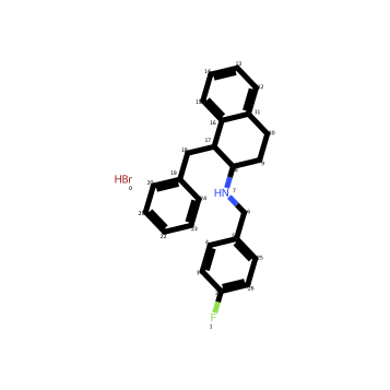 Br.Fc1ccc(CNC2CCc3ccccc3C2Cc2ccccc2)cc1